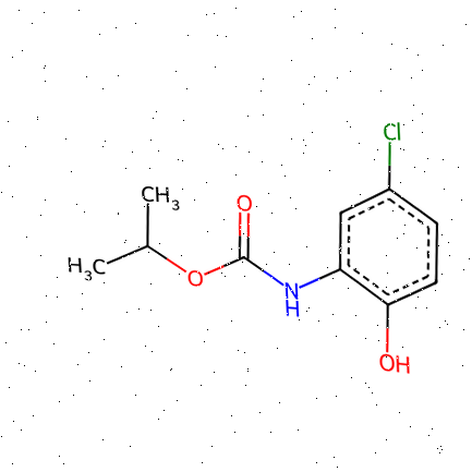 CC(C)OC(=O)Nc1cc(Cl)ccc1O